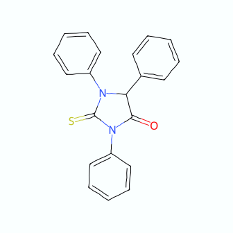 O=C1C(c2ccccc2)N(c2ccccc2)C(=S)N1c1ccccc1